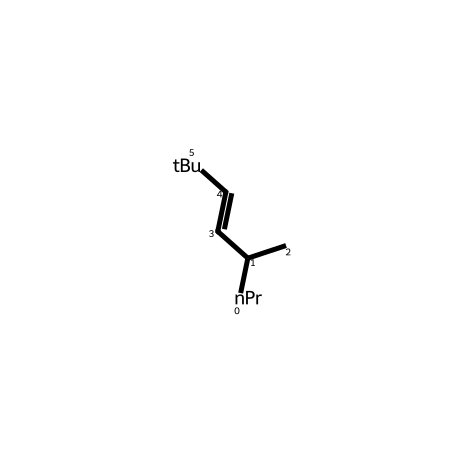 C[CH]CC(C)C=CC(C)(C)C